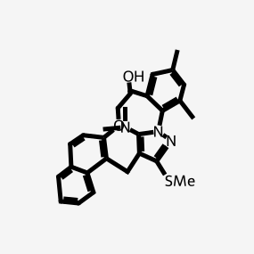 CSc1nn(-c2c(C)cc(C)cc2C)c(N(C)C)c1Cc1c(OCCO)ccc2ccccc12